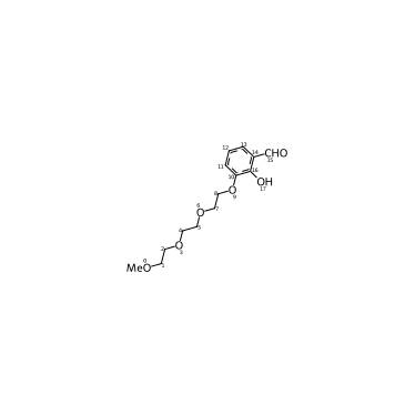 COCCOCCOCCOc1cccc(C=O)c1O